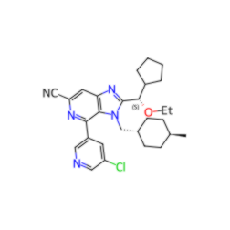 CCO[C@H](c1nc2cc(C#N)nc(-c3cncc(Cl)c3)c2n1C[C@H]1CC[C@H](C)CC1)C1CCCC1